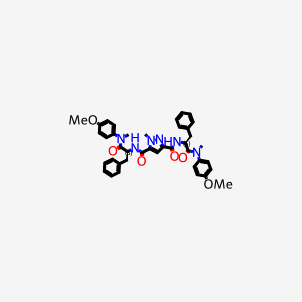 COc1ccc(N(C)C(=O)[C@H](Cc2ccccc2)NC(=O)c2cc(C(=O)N[C@@H](Cc3ccccc3)C(=O)N(C)c3ccc(OC)cc3)n(C)n2)cc1